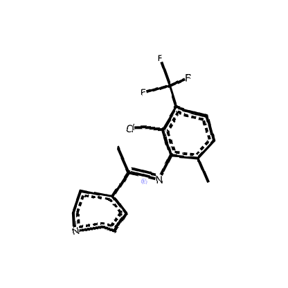 C/C(=N\c1c(C)ccc(C(F)(F)F)c1Cl)c1ccncc1